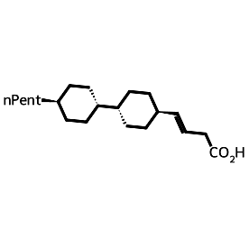 CCCCC[C@H]1CC[C@H]([C@H]2CC[C@H](C=CCC(=O)O)CC2)CC1